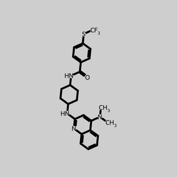 CN(C)c1cc(NC2CCC(NC(=O)c3ccc(SC(F)(F)F)cc3)CC2)nc2ccccc12